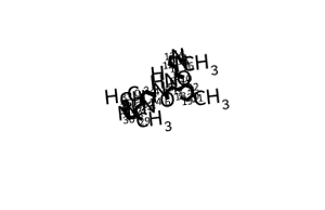 Cc1cc(NC(=O)[C@@H](NC(=O)c2ccnn2C)[C@H]2CC[C@H](C)CC2)cnc1-c1c(C)cnn1C